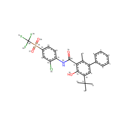 Cc1c(-c2ccccc2)cc(C(C)(C)C)c(O)c1C(=O)Nc1ccc(S(=O)(=O)C(F)(F)F)cc1Cl